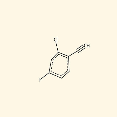 C#Cc1ccc(I)cc1Cl